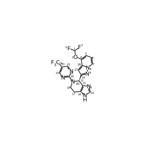 FC(F)Oc1cccn2nc([C@H]3c4nc[nH]c4CCN3c3ncc(C(F)(F)F)cn3)cc12